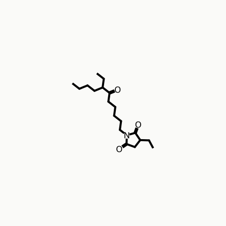 CCCCC(CC)C(=O)CCCCCN1C(=O)CC(CC)C1=O